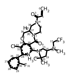 C=CC(=O)N1CCN2C(=O)c3c(N4CC(N(C)CC(F)(F)F)CC4(C)C)nc(-c4ccccc4F)c(Cl)c3OC[C@H]2C1